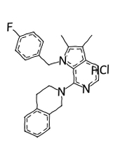 Cc1c(C)n(Cc2ccc(F)cc2)c2c(N3CCc4ccccc4C3)nccc12.Cl